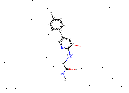 CNC(=O)CNc1ncc(-c2ccc(C)cc2)cc1O